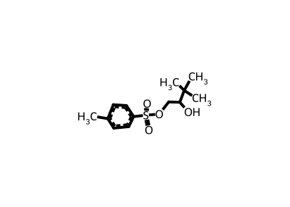 Cc1ccc(S(=O)(=O)OCC(O)C(C)(C)C)cc1